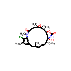 COc1cc2cc(c1Cl)N(C)C(=O)CC[C@]1(C)O[C@@H]1[C@H](C)C1C[C@@](O)(NC(=O)O1)[C@H](OC)/C=C/C=C(\C)C2